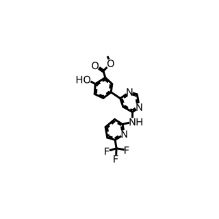 COC(=O)c1cc(-c2cc(Nc3cccc(C(F)(F)F)n3)ncn2)ccc1O